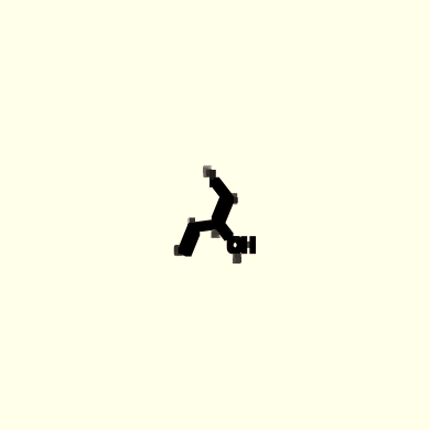 C=C/C(O)=C\I